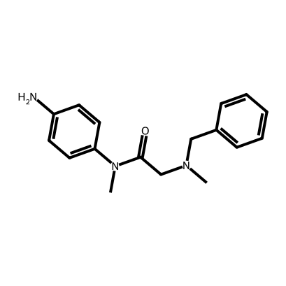 CN(CC(=O)N(C)c1ccc(N)cc1)Cc1ccccc1